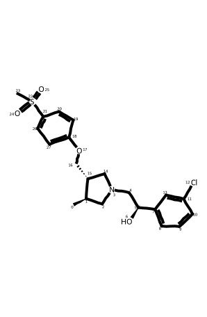 C[C@@H]1CN(C[C@H](O)c2cccc(Cl)c2)C[C@H]1COc1ccc(S(C)(=O)=O)cc1